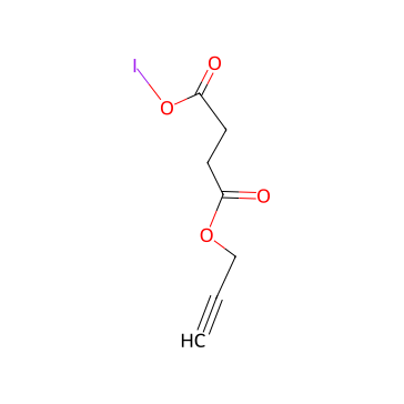 C#CCOC(=O)CCC(=O)OI